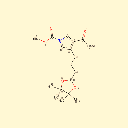 COC(=O)c1cn(C(=O)OC(C)(C)C)cc1CCCB1OC(C)(C)C(C)(C)O1